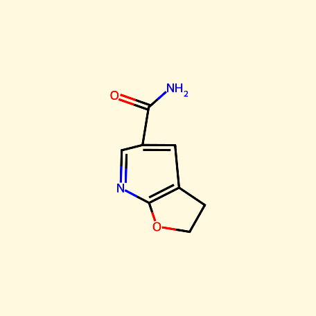 NC(=O)c1cnc2c(c1)CCO2